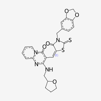 O=C1/C(=C\c2c(NCC3CCCO3)nc3ccccn3c2=O)SC(=S)N1Cc1ccc2c(c1)OCO2